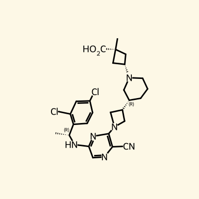 C[C@@H](Nc1cnc(C#N)c(N2CC([C@H]3CCCN([C@H]4C[C@@](C)(C(=O)O)C4)C3)C2)n1)c1ccc(Cl)cc1Cl